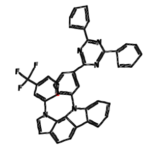 FC(F)(F)c1cccc(-n2ccc3ccc4c5ccccc5n(-c5cccc(-c6nc(-c7ccccc7)nc(-c7ccccc7)n6)c5)c4c32)c1